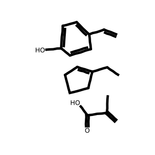 C=C(C)C(=O)O.C=Cc1ccc(O)cc1.CCC1=CCCC1